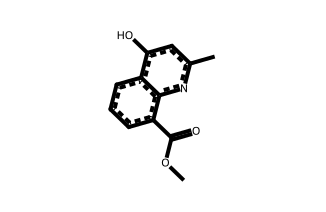 COC(=O)c1cccc2c(O)cc(C)nc12